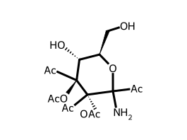 CC(=O)O[C@@]1(C(C)=O)[C@H](O)[C@@H](CO)OC(N)(C(C)=O)[C@@]1(OC(C)=O)C(C)=O